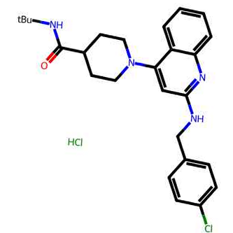 CC(C)(C)NC(=O)C1CCN(c2cc(NCc3ccc(Cl)cc3)nc3ccccc23)CC1.Cl